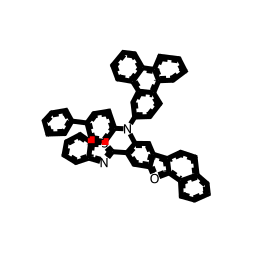 c1ccc(-c2ccc(N(c3ccc4c5ccccc5c5ccccc5c4c3)c3cc4c(cc3-c3nc5ccccc5s3)oc3c5ccccc5ccc43)cc2)cc1